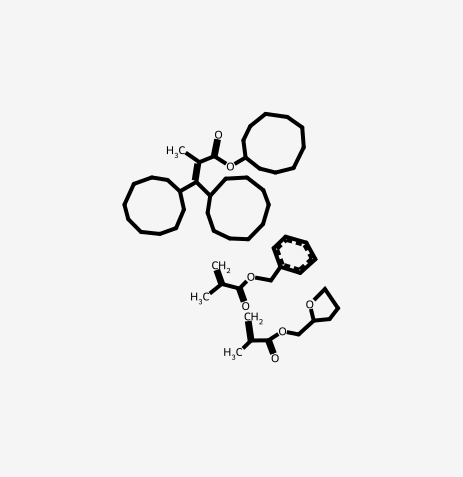 C=C(C)C(=O)OCC1CCCO1.C=C(C)C(=O)OCc1ccccc1.CC(C(=O)OC1CCCCCCCCC1)=C(C1CCCCCCCCC1)C1CCCCCCCCC1